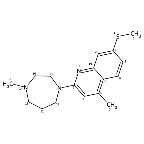 CSc1ccc2c(C)cc(N3CCCN(C)CC3)nc2c1